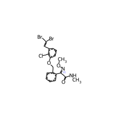 CNC(=O)/C(=N/OC)c1ccccc1COc1cccc(C=C(Br)Br)c1Cl